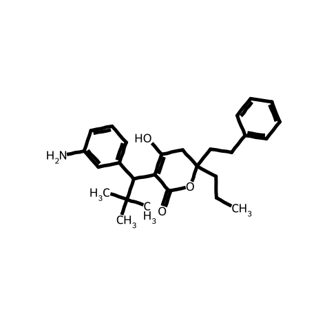 CCCC1(CCc2ccccc2)CC(O)=C(C(c2cccc(N)c2)C(C)(C)C)C(=O)O1